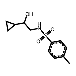 Cc1ccc(S(=O)(=O)NCC(O)C2CC2)cc1